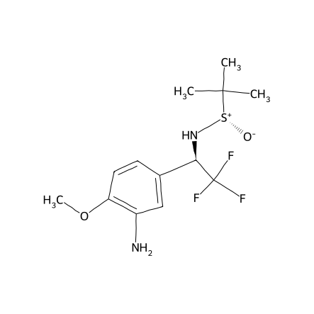 COc1ccc([C@@H](N[S@@+]([O-])C(C)(C)C)C(F)(F)F)cc1N